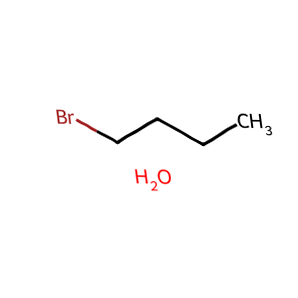 CCCCBr.O